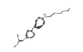 CCCCCCOc1ccc(-c2ccc(C=C(F)F)cc2)cc1